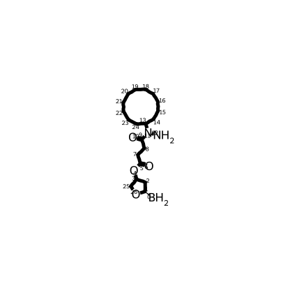 B[C@H]1CC(OC(=O)CCC(=O)N(N)C2CCCCCCCCCCC2)CO1